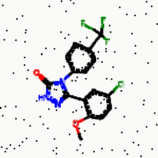 COc1ccc(Cl)cc1-c1n[nH]c(=O)n1-c1ccc(C(F)(F)F)cc1